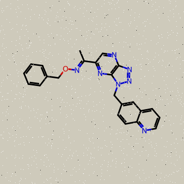 CC(=NOCc1ccccc1)c1cnc2nnn(Cc3ccc4ncccc4c3)c2n1